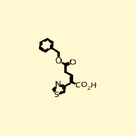 O=C(C/C=C(/C(=O)O)c1cscn1)OCc1ccccc1